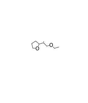 CCOC[CH]C1CCCO1